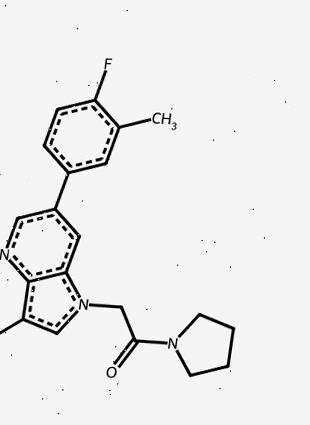 Cc1cc(-c2cnc3c(F)cn(CC(=O)N4CCCC4)c3c2)ccc1F